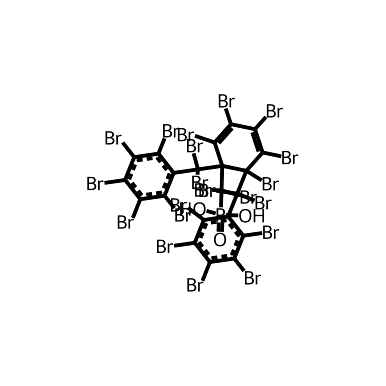 O=P(O)(O)C(Br)(Br)C1(C(Br)(Br)c2c(Br)c(Br)c(Br)c(Br)c2Br)C(Br)=C(Br)C(Br)=C(Br)C1(Br)C(Br)(Br)c1c(Br)c(Br)c(Br)c(Br)c1Br